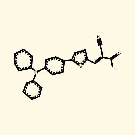 N#C/C(=C\c1ccc(-c2ccc(N(c3ccccc3)c3ccccc3)cc2)s1)C(=O)O